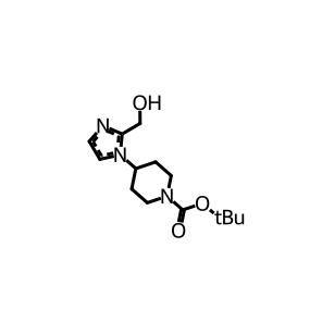 CC(C)(C)OC(=O)N1CCC(n2ccnc2CO)CC1